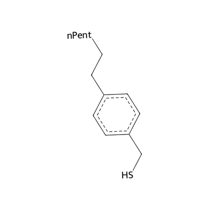 CCCCCCCc1ccc(CS)cc1